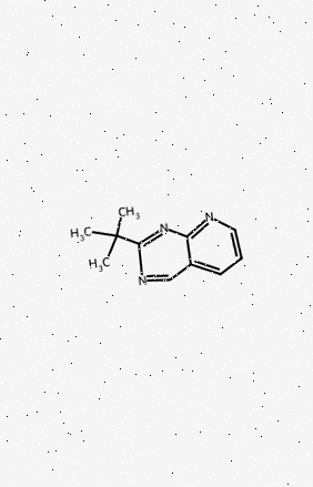 CC(C)(C)c1ncc2cccnc2n1